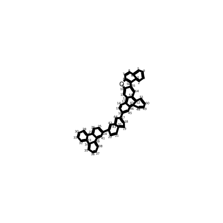 c1ccc2c(c1)ccc1oc3cc4c5ccc(-c6ccc7ccc(-c8ccc9c%10ccccc%10c%10ccccc%10c9c8)cc7c6)cc5c5ccccc5c4cc3c12